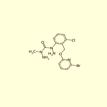 CN(N)C(=O)N(N)c1cccc(Cl)c1COc1cccc(Br)n1